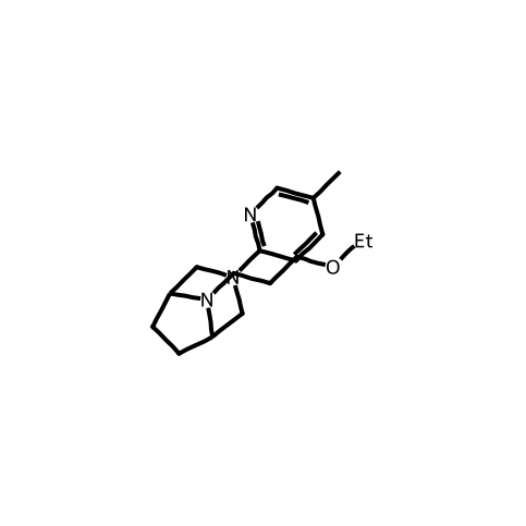 CCOCCCN1C2CCC1CN(c1ccc(C)cn1)C2